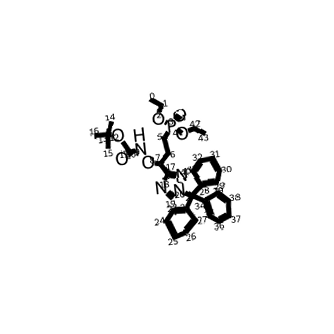 CCOP(=O)(CCC(ONC(=O)OC(C)(C)C)c1ncn(C(c2ccccc2)(c2ccccc2)c2ccccc2)n1)OCC